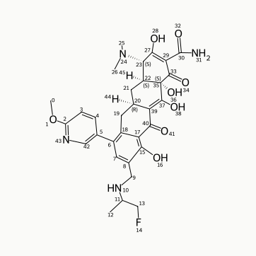 COc1ccc(-c2cc(CNC(C)CF)c(O)c3c2C[C@H]2C[C@H]4[C@H](N(C)C)C(O)=C(C(N)=O)C(=O)[C@@]4(O)C(O)=C2C3=O)cn1